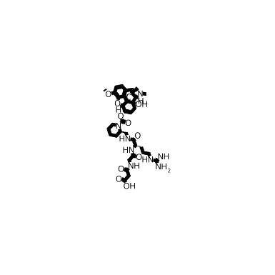 COc1ccc2c3c1O[C@H]1C(OC(=O)N4CCCC[C@@H]4CNC(=O)[C@H](CCCNC(=N)N)NC(=O)CNC(=O)CC(=O)O)=CC[C@@]4(O)[C@@H]5N(C)CC5(C2)C[C@]314